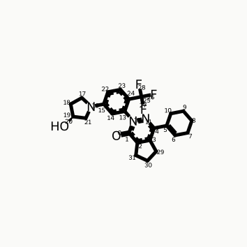 O=c1c2c(c(C3=CCCCC3)nn1-c1cc(N3CC[C@H](O)C3)ccc1C(F)(F)F)CCC2